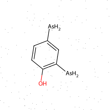 Oc1ccc([AsH2])cc1[AsH2]